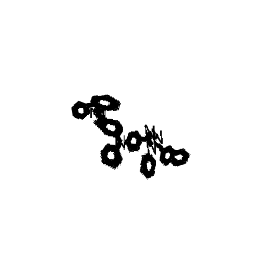 c1ccc(N(c2ccc(-c3nnc(-c4ccc5ccccc5c4)n3-c3ccccc3)cc2)c2ccc(-n3c4ccccc4c4ccccc43)cc2)cc1